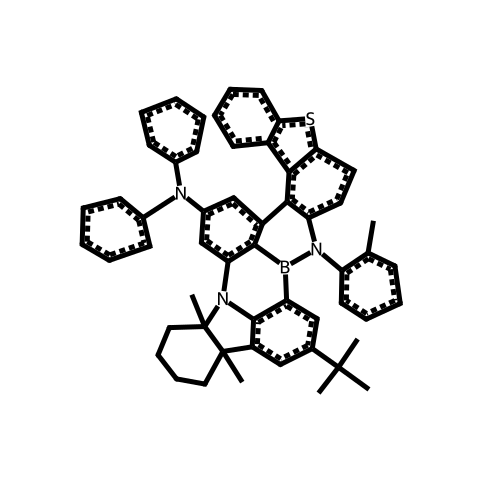 Cc1ccccc1N1B2c3cc(C(C)(C)C)cc4c3N(c3cc(N(c5ccccc5)c5ccccc5)cc(c32)-c2c1ccc1sc3ccccc3c21)C1(C)CCCCC41C